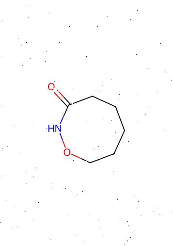 O=C1CCCCCON1